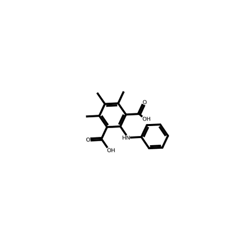 Cc1c(C)c(C(=O)O)c(Nc2ccccc2)c(C(=O)O)c1C